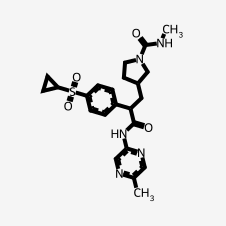 CNC(=O)N1CCC(CC(C(=O)Nc2cnc(C)cn2)c2ccc(S(=O)(=O)C3CC3)cc2)C1